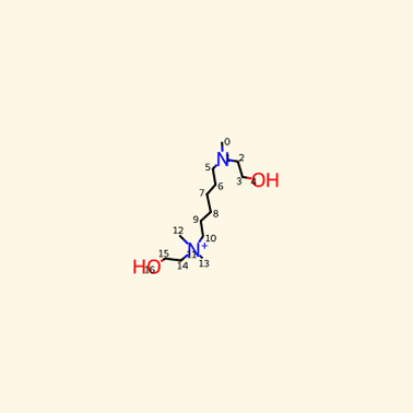 CN(CCO)CCCCCC[N+](C)(C)CCO